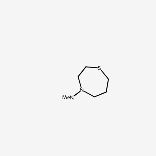 CNN1CCCSCC1